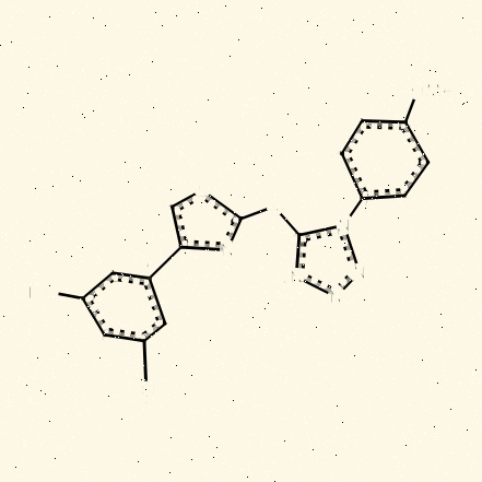 COc1ccc(-n2nnnc2Sc2nc(-c3cc(C(F)(F)F)cc(C(F)(F)F)c3)cs2)cc1